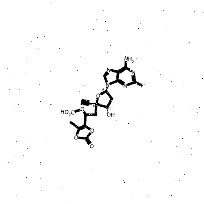 C#C[C@@]1(CC(OC(=O)O)c2oc(=O)oc2C)O[C@@H](n2cnc3c(N)nc(F)nc32)C[C@@H]1O